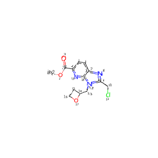 CC(C)OC(=O)c1ccc2nc(CCl)n(CC3CCO3)c2n1